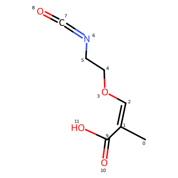 CC(=COCCN=C=O)C(=O)O